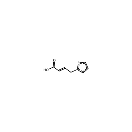 O=C(O)/C=C/Cc1cccs1